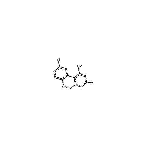 COc1ccc(Cl)cc1-c1c(C)cc(C)cc1O